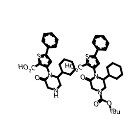 CC(C)(C)OC(=O)N1CC(=O)N(c2cc(-c3ccccc3)sc2C(=O)O)C(C2CCCCC2)C1.O=C(O)c1sc(-c2ccccc2)cc1N1C(=O)CNCC1C1CCCCC1